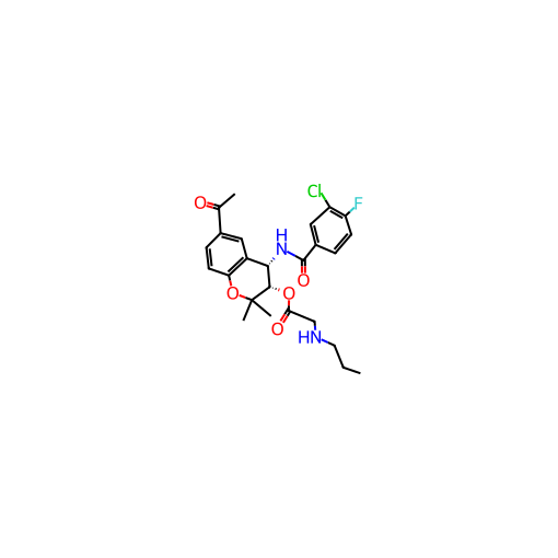 CCCNCC(=O)O[C@H]1[C@@H](NC(=O)c2ccc(F)c(Cl)c2)c2cc(C(C)=O)ccc2OC1(C)C